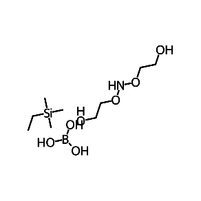 CC[Si](C)(C)C.OB(O)O.OCCONOCCO